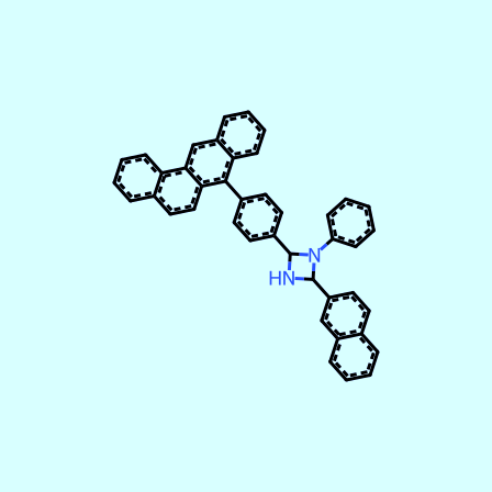 c1ccc(N2C(c3ccc(-c4c5ccccc5cc5c4ccc4ccccc45)cc3)NC2c2ccc3ccccc3c2)cc1